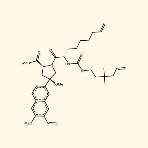 C=CCCCCC[C@H](NC(=O)OCCC(C)(C)CC=C)C(=O)N1C[C@](OC)(c2ccc3cc(OC)c(C=C)cc3c2)C[C@H]1C(=O)OC